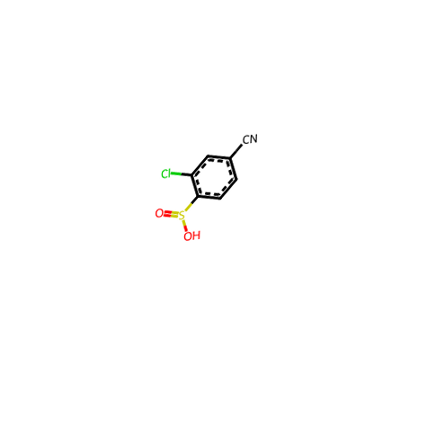 N#Cc1ccc(S(=O)O)c(Cl)c1